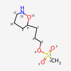 CS(=O)(=O)OCCCC1CCCNO1